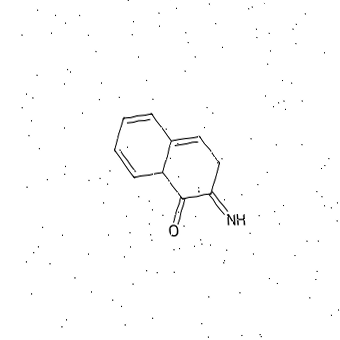 N=C1CC=C2C=CC=CC2C1=O